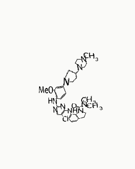 COc1cc(N2CCC(N3CCN(C)CC3)CC2)ccc1Nc1ncc(Cl)c(Nc2cccc3c2N(C(=O)N(C)C)CC3)n1